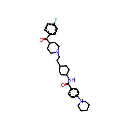 O=C(NC1CCC(CCN2CCC(C(=O)c3ccc(F)cc3)CC2)CC1)c1ccc(N2CCCCC2)cc1